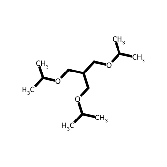 CC(C)OCC(COC(C)C)COC(C)C